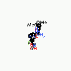 COc1ccc(CC(=O)N=C(N)NC(Cc2ccccc2)C(=O)NCc2ccc(F)c(-c3nnc(O)o3)c2)cc1OC